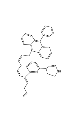 C=CC/C=C(\C=C/C/C=C\Cc1c2ccccc2c(-c2ccccc2)c2ccccc12)c1cccc(C2C=CNCC2)n1